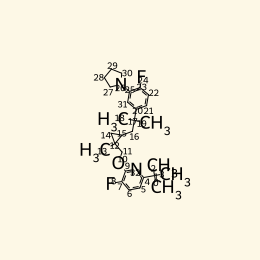 CC(C)(C)c1ccc(F)c(OCC2(C)CC2CC(C)(C)c2ccc(F)c(N3CCCC3)c2)n1